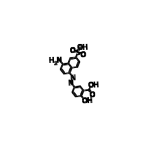 Nc1ccc(N=Nc2ccc(O)c(C(=O)O)c2)c2ccc(S(=O)(=O)O)cc12